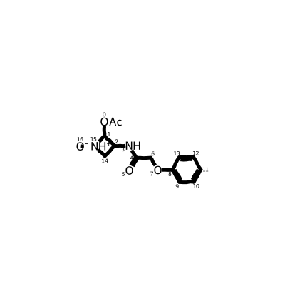 CC(=O)OC1C(NC(=O)COc2ccccc2)C[NH+]1[O-]